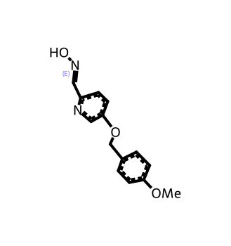 COc1ccc(COc2ccc(/C=N/O)nc2)cc1